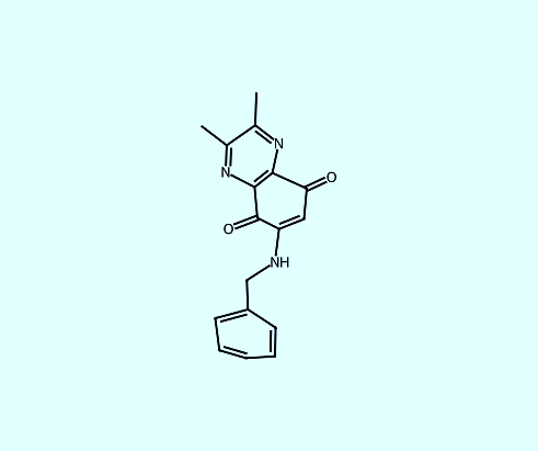 Cc1nc2c(nc1C)C(=O)C(NCc1ccccc1)=CC2=O